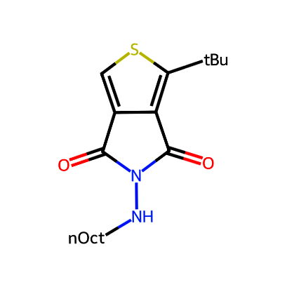 CCCCCCCCNN1C(=O)c2csc(C(C)(C)C)c2C1=O